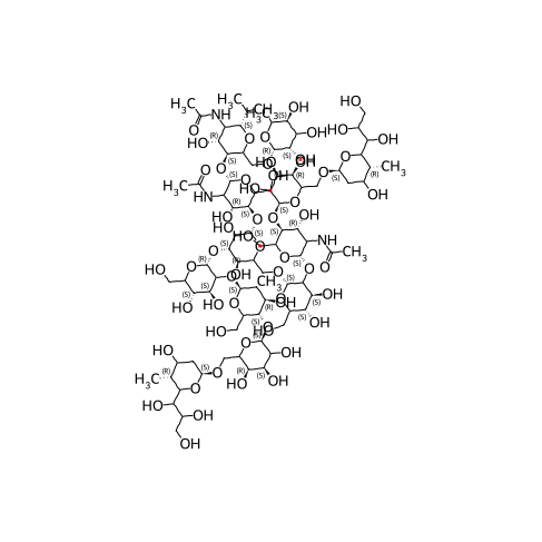 CC(=O)NC1[C@H](OC2[C@@H](OCC3O[C@@H](O[C@@H]4C(CO)O[C@@H](O[C@@H]5C(CO[C@@H]6OC(C)[C@@H](O)C(O)[C@@H]6O)O[C@@H](C(C)C)C(NC(C)=O)[C@H]5O)C(NC(C)=O)[C@H]4O)C(O)[C@@H](O[C@H]4OC(CO)[C@@H](O)[C@H](O)C4O[C@@H]4OC(CO)[C@@H](O[C@@H]5OC(CO[C@@H]6CC(O)[C@@H](C)C(C(O)C(O)CO)O6)[C@H](O)[C@H](O)C5O)[C@H](O)C4C)[C@@H]3O)OC(CO)[C@@H](O)[C@@H]2O)OC(CO)[C@@H](O[C@@H]2OC(CO[C@@H]3CC(O)[C@@H](C)C(C(O)C(O)CO)O3)[C@H](O)[C@H](O)C2O)[C@@H]1O